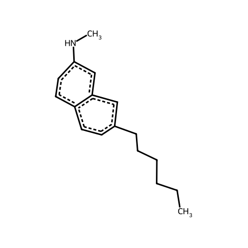 CCCCCCc1ccc2ccc(NC)cc2c1